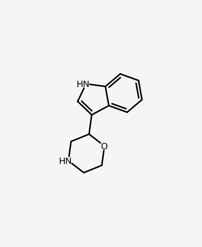 c1ccc2c(C3CNCCO3)c[nH]c2c1